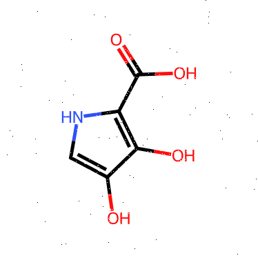 O=C(O)c1[nH]cc(O)c1O